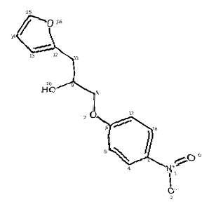 O=[N+]([O-])c1ccc(OCC(O)Cc2ccco2)cc1